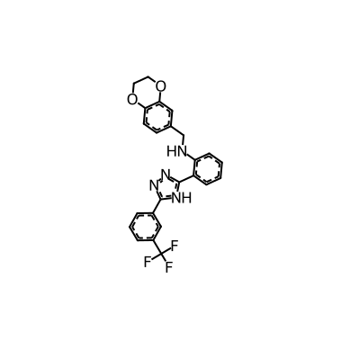 FC(F)(F)c1cccc(-c2nnc(-c3ccccc3NCc3ccc4c(c3)OCCO4)[nH]2)c1